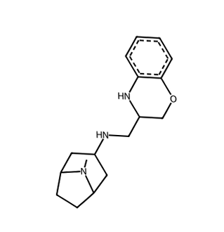 CN1C2CCC1CC(NCC1COc3ccccc3N1)C2